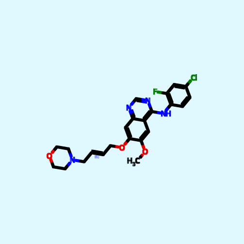 COc1cc2c(Nc3ccc(Cl)cc3F)ncnc2cc1OC/C=C/CN1CCOCC1